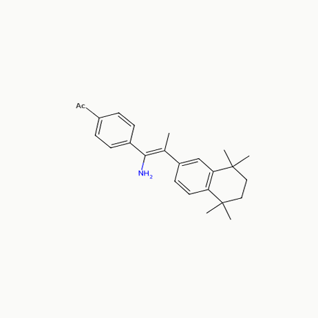 CC(=O)c1ccc(/C(N)=C(\C)c2ccc3c(c2)C(C)(C)CCC3(C)C)cc1